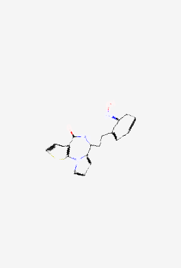 O=C1NC(CCC2=CC=CCC2=NO)c2cccn2-c2sccc21